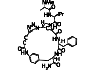 CN[C@@H](C)C(=O)N[C@H](C(=O)N1C[C@@H]2C[C@H]1C(=O)N[C@@H](Cc1ccccc1)C(=O)N[C@H](C(N)=O)Cc1ccc(cc1)NC(=O)CCc1cn2nn1)C(C)C